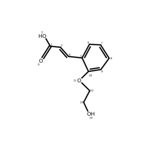 O=C(O)/C=C/c1ccccc1OCCO